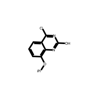 CC(C)Oc1cccc2c(Cl)nc(O)nc12